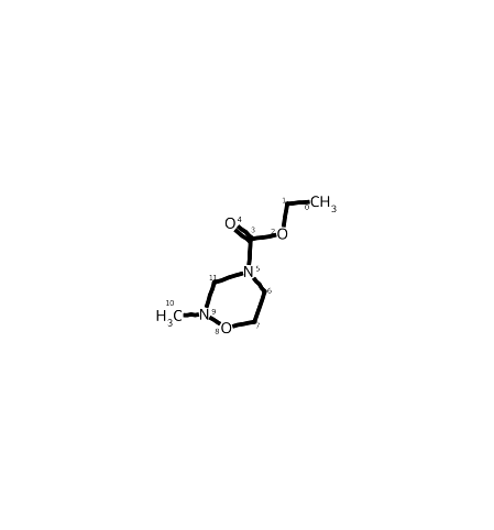 CCOC(=O)N1CCON(C)C1